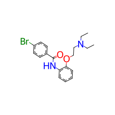 CCN(CC)CCOc1ccccc1NC(=O)c1ccc(Br)cc1